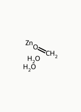 C=O.O.O.[Zn]